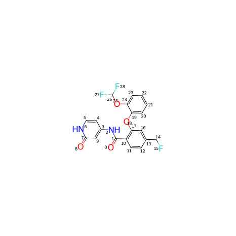 O=C(Nc1cc[nH]c(=O)c1)c1ccc(CF)cc1Oc1ccccc1OC(F)F